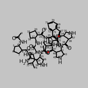 CC(=O)NC1CCCC1C(=O)N[C@H](CC(=O)NC1CCCC1C(=O)NC[C@H](CC(C)C)C(=O)NC1CNCC1C(=O)NC1CNCC1C(=O)N[C@H](CC(=O)NC1CNCC1C(N)=O)Cc1cccc2ccccc12)CC(C)C